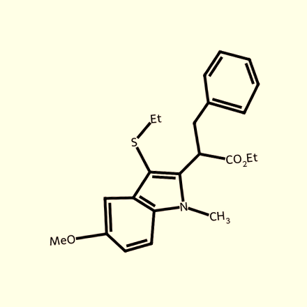 CCOC(=O)C(Cc1ccccc1)c1c(SCC)c2cc(OC)ccc2n1C